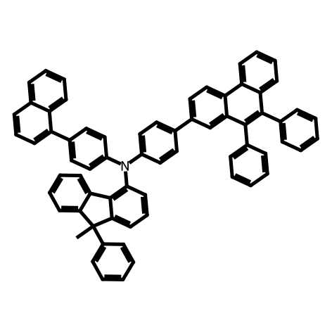 CC1(c2ccccc2)c2ccccc2-c2c(N(c3ccc(-c4ccc5c(c4)c(-c4ccccc4)c(-c4ccccc4)c4ccccc45)cc3)c3ccc(-c4cccc5ccccc45)cc3)cccc21